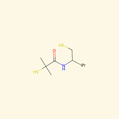 CC(C)C(CS)NC(=O)C(C)(C)S